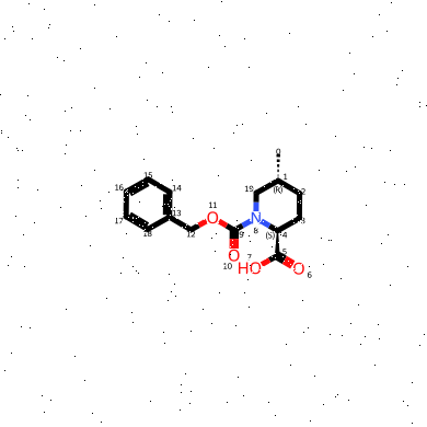 C[C@@H]1CC[C@@H](C(=O)O)N(C(=O)OCc2ccccc2)C1